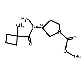 CN(C(=O)C1(C)CCC1)[C@H]1CCN(C(=O)OC(C)(C)C)C1